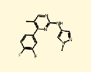 Cc1cnc(Nc2cnn(C)c2)nc1-c1ccc(F)c(F)c1